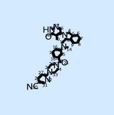 Cc1c(N2Cc3ccccc3C2CN(C)c2cccc(C(=O)N3CCN(c4ccc(C#N)cn4)CC3)c2)cn[nH]c1=O